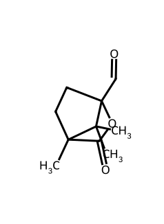 CC12CCC(C=O)(OC1=O)C2(C)C